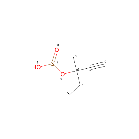 C#CC(C)(CC)OS(=O)O